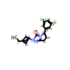 N#CCC12CC(n3nc4n(c3=O)C(c3cc(F)cc(F)c3)CC4)(C1)C2